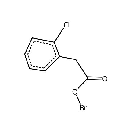 O=C(Cc1ccccc1Cl)OBr